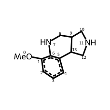 COc1cccc2c1NCC1CNCC21